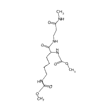 CNC(=O)CCNC(=O)C(CCCCNC(=O)OC)NC(=O)OC